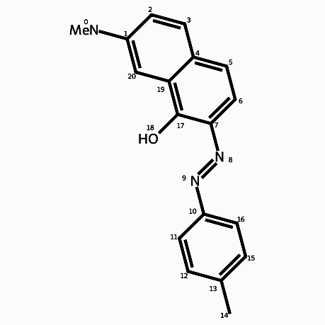 CNc1ccc2ccc(N=Nc3ccc(C)cc3)c(O)c2c1